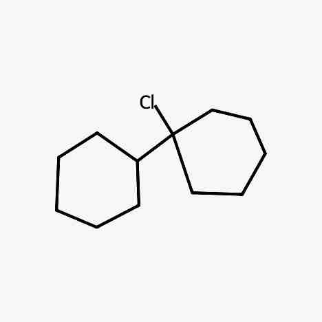 ClC1(C2CCCCC2)CCCCC1